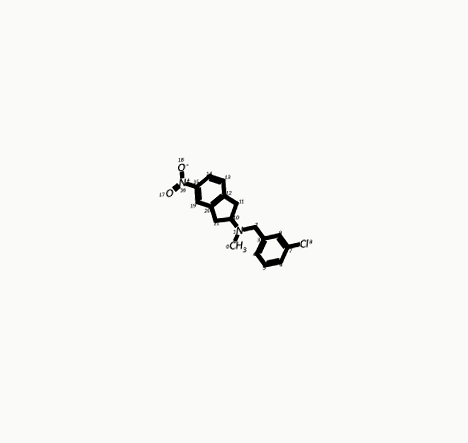 CN(Cc1cccc(Cl)c1)C1Cc2ccc([N+](=O)[O-])cc2C1